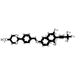 CC1COC(c2ccc(COc3ccc4c(F)c(C#CC(F)(F)F)c(F)cc4c3)cc2)OC1